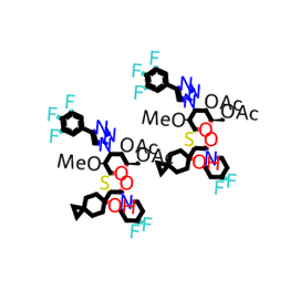 CO[C@@H]1[C@@H](n2cc(-c3cc(F)c(F)c(F)c3)nn2)[C@@H](OC(C)=O)[C@@H](COC(C)=O)O[C@H]1SC(C(=O)N1CCC(F)(F)CC1)C1(O)CCC2(CC2)CC1.CO[C@@H]1[C@@H](n2cc(-c3cc(F)c(F)c(F)c3)nn2)[C@@H](OC(C)=O)[C@@H](COC(C)=O)O[C@H]1SC(C(=O)N1CCC(F)(F)CC1)C1(O)CCC2(CC2)CC1